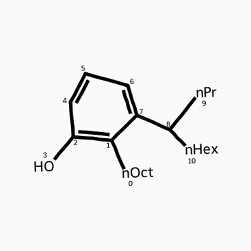 CCCCCCCCc1c(O)cccc1C(CCC)CCCCCC